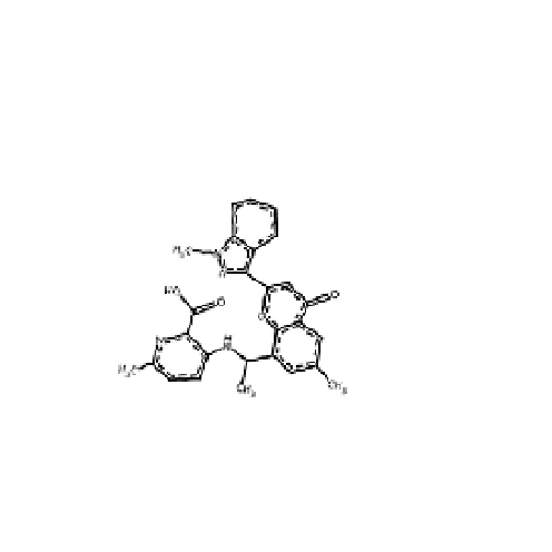 Cc1cc(C(C)Nc2ccc(C)nc2C(=O)O)c2oc(-c3nn(C)c4ccccc34)cc(=O)c2c1